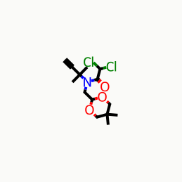 C#CC(C)(C)N(CC1OCC(C)(C)CO1)C(=O)C(Cl)Cl